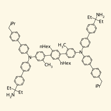 CCCCCCc1cc(-c2ccc(N(c3ccc(-c4ccc(CC(C)C)cc4)cc3)c3ccc(-c4ccc(C(N)(CC)CC)cc4)cc3)cc2C)c(CCCCCC)cc1-c1ccc(N(c2ccc(-c3ccc(CC(C)C)cc3)cc2)c2ccc(-c3ccc(C(N)(CC)CC)cc3)cc2)cc1C